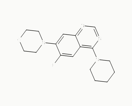 Fc1cc2c(N3CCCCC3)ncnc2cc1N1CCOCC1